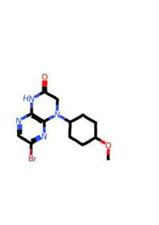 COC1CCC(N2CC(=O)Nc3ncc(Br)nc32)CC1